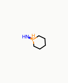 N=[PH]1CCCCC1